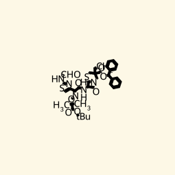 C=CC1(C(=O)OC(c2ccccc2)c2ccccc2)CS[C@@H]2C(NC(=O)C(=NOC(C)(C)C(=O)OC(C)(C)C)c3csc(NC=O)n3)C(=O)N2C1